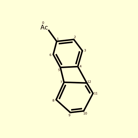 CC(=O)c1ccc2c(c1)-c1ccccc1-2